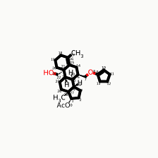 CC(=O)O[C@H]1CC[C@H]2[C@@H]3[C@H](COC4=CCCC4)CC4=C(C)CCC[C@]4(CO)[C@H]3CC[C@]12C